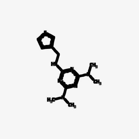 CN(C)c1nc(NCc2ccsc2)nc(N(C)C)n1